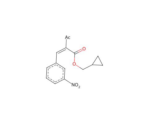 CC(=O)C(=Cc1cccc([N+](=O)[O-])c1)C(=O)OCC1CC1